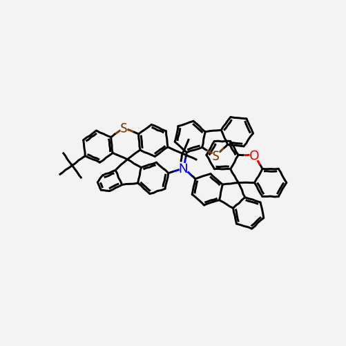 CC(C)(C)c1ccc2c(c1)C1(c3cc(C(C)(C)C)ccc3S2)c2ccccc2-c2ccc(N(c3ccc4c(c3)C3(c5ccccc5Oc5ccccc53)c3ccccc3-4)c3cccc4c3sc3ccccc34)cc21